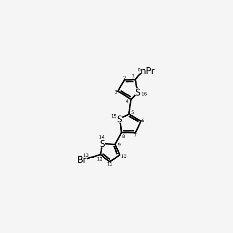 CCCc1ccc(-c2ccc(-c3ccc(Br)s3)s2)s1